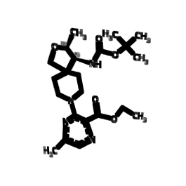 CCOC(=O)c1ncc(C)nc1N1CCC2(CC1)CO[C@@H](C)[C@H]2NC(=O)OC(C)(C)C